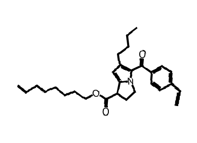 C=Cc1ccc(C(=O)c2c(CCCC)cc3n2CCC3C(=O)OCCCCCCCC)cc1